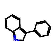 c1ccc(C2=c3ccccc3=NC2)cc1